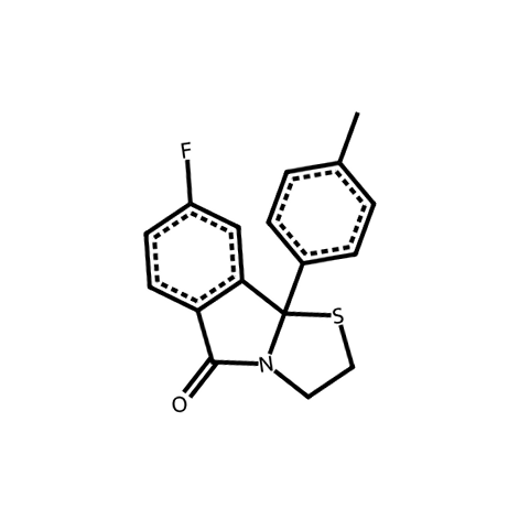 Cc1ccc(C23SCCN2C(=O)c2ccc(F)cc23)cc1